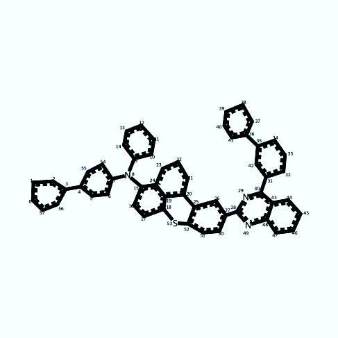 c1ccc(-c2ccc(N(c3ccccc3)c3ccc4c5c(cccc35)-c3cc(-c5nc(-c6cccc(-c7ccccc7)c6)c6ccccc6n5)ccc3S4)cc2)cc1